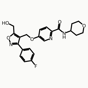 O=C(NC1CCOCC1)c1ccc(OCc2c(-c3ccc(F)cc3)noc2CO)cn1